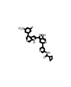 Cc1cc(F)cc(-c2cncc3[nH]c(-c4n[nH]c5cnc(-c6cncc(NC(=O)C7CCC7)c6)cc45)cc23)c1